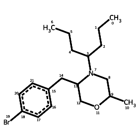 CCCC(CCC)N1CC(C)OCC1Cc1ccc(Br)cc1